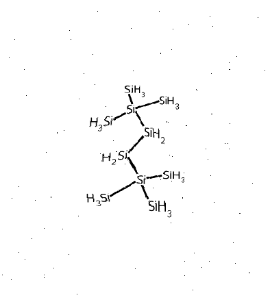 [SiH3][Si]([SiH3])([SiH3])[SiH2][SiH2][Si]([SiH3])([SiH3])[SiH3]